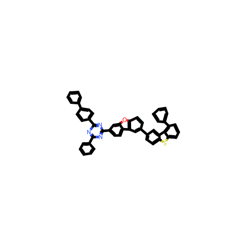 c1ccc(-c2ccc(-c3nc(-c4ccccc4)nc(-c4ccc5c(c4)oc4ccc(-c6ccc7sc8cccc(-c9ccccc9)c8c7c6)cc45)n3)cc2)cc1